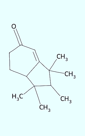 CC1C(C)(C)C2=CC(=O)CCC2C1(C)C